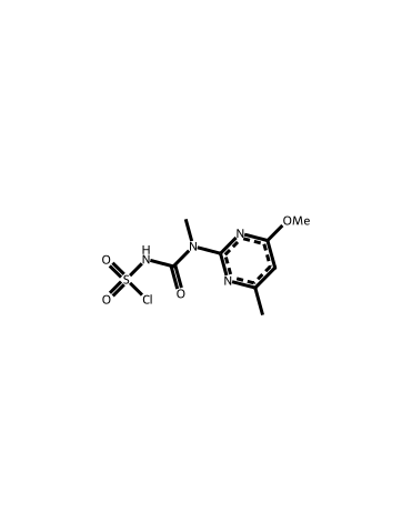 COc1cc(C)nc(N(C)C(=O)NS(=O)(=O)Cl)n1